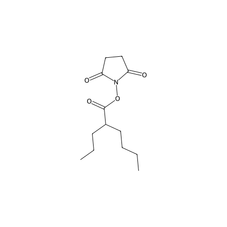 CCCCC(CCC)C(=O)ON1C(=O)CCC1=O